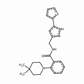 CC1(C)CCN(c2ccccc2C(=O)NCc2cc(-c3cccs3)[nH]n2)CC1